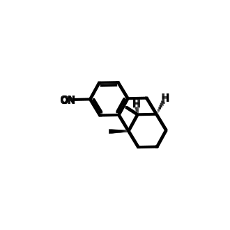 C[C@H]1[C@@H]2CCC[C@]1(C)c1cc(N=O)ccc1C2